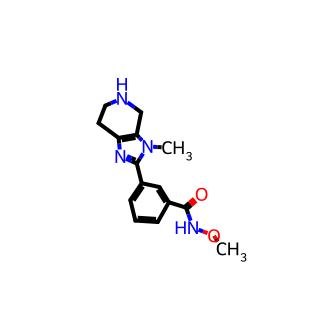 CONC(=O)c1cccc(-c2nc3c(n2C)CNCC3)c1